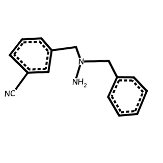 N#Cc1cccc(CN(N)Cc2ccccc2)c1